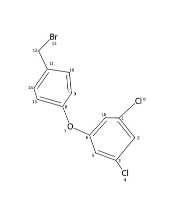 Clc1cc(Cl)cc(Oc2ccc(CBr)cc2)c1